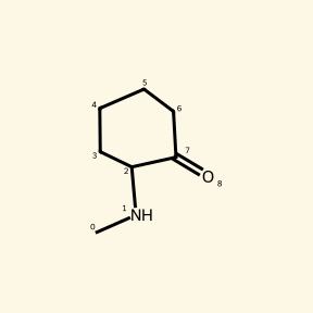 CNC1CCCCC1=O